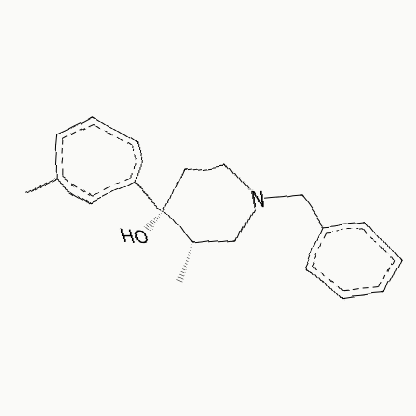 Cc1cccc([C@@]2(O)CCN(Cc3ccccc3)C[C@@H]2C)c1